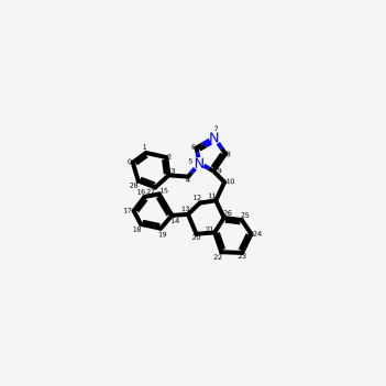 c1ccc(Cn2cncc2CC2CC(c3ccccc3)Cc3ccccc32)cc1